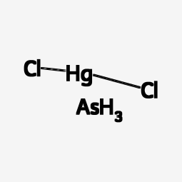 [AsH3].[Cl][Hg][Cl]